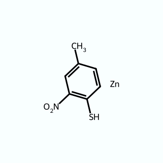 Cc1ccc(S)c([N+](=O)[O-])c1.[Zn]